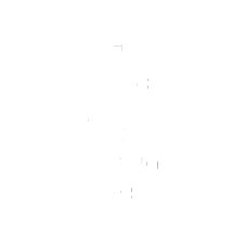 CC(C)CC1CCC(C)(C)S1